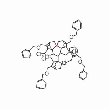 CCCC(C(C(CC12CCC(O1)C(COCc1ccccc1)C2CCl)C12CCC(O1)C(COCc1ccccc1)C2CCl)C12CCC(O1)C(COCc1ccccc1)C2CCl)C12CCC(O1)C(COCc1ccccc1)C2CCl